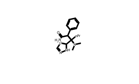 CCCC(C1NN=CO1)(C(C(N)=O)c1ccccc1)N(C)C